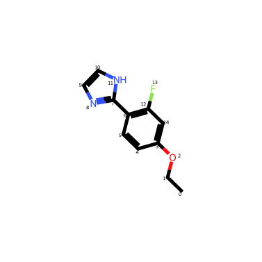 CCOc1ccc(-c2ncc[nH]2)c(F)c1